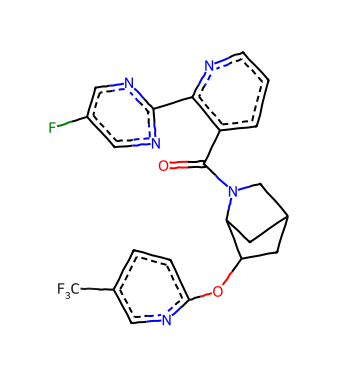 O=C(c1cccnc1-c1ncc(F)cn1)N1CC2CC(Oc3ccc(C(F)(F)F)cn3)C1C2